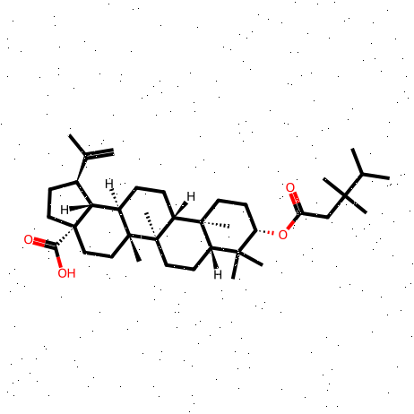 C=C(C)[C@@H]1CC[C@]2(C(=O)O)CC[C@]3(C)[C@H](CC[C@@H]4[C@@]5(C)CC[C@H](OC(=O)CC(C)(C)C(C)C)C(C)(C)[C@@H]5CC[C@]43C)[C@@H]12